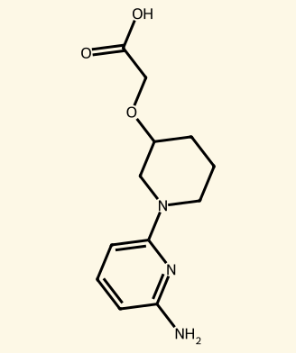 Nc1cccc(N2CCCC(OCC(=O)O)C2)n1